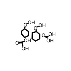 O=C(O)O.O=C(O)O.OOC1CCCCC1.OOC1CCCCC1